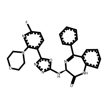 O=C1Nc2ccccc2C(c2ccccc2)=N[C@@H]1Nc1nnc(-c2ccc(F)nc2N2CCOCC2)o1